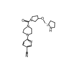 N#Cc1ccc(N2CCN(C(=O)N3CCC(OC[C@@H]4CCCN4)C3)CC2)nc1